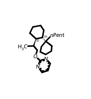 CCCCCC1([C@H]2CCCC[C@@H]2C(C)COc2ncccn2)CCCCC1